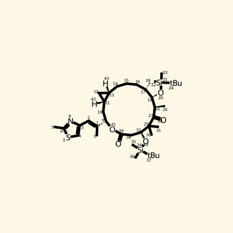 CC(=Cc1csc(C)n1)[C@@H]1C[C@@H]2C[C@@H]2CCC[C@H](C)[C@H](O[Si](C)(C)C(C)(C)C)[C@@H](C)C(=O)C(C)(C)[C@@H](O[Si](C)(C)C(C)(C)C)CC(=O)O1